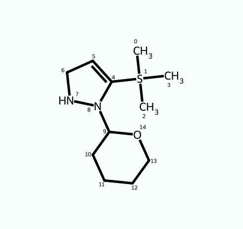 CS(C)(C)C1=CCNN1C1CCCCO1